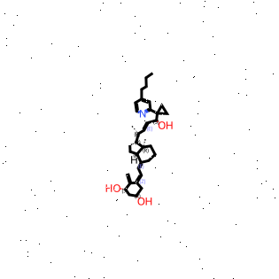 C=C1/C(=C\C=C2/CCC[C@]3(C)[C@@H]([C@H](C)/C=C/[C@H](O)C4(c5cc(CCCC)ccn5)CC4)CC[C@@H]23)C[C@@H](O)C[C@@H]1O